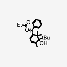 CCC(=O)ON(C1=CC=C(C)C(O)(C(C)(C)C)C1(C)C)c1ccccc1